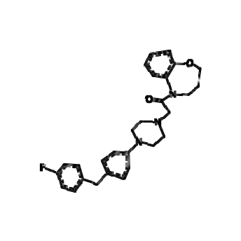 O=C(CN1CCN(c2ccc(Cc3ccc(F)cc3)cc2)CC1)N1CCCOc2ccccc21